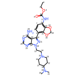 CCOC(=O)Nc1ccc(-c2nn(CCN3CCC(N(C)C)CC3)c3ncnc(N)c23)c2c1OCO2